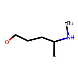 [CH2]C(CCC[O])NC(C)(C)C